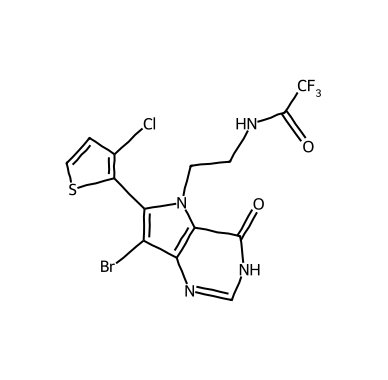 O=C(NCCn1c(-c2sccc2Cl)c(Br)c2nc[nH]c(=O)c21)C(F)(F)F